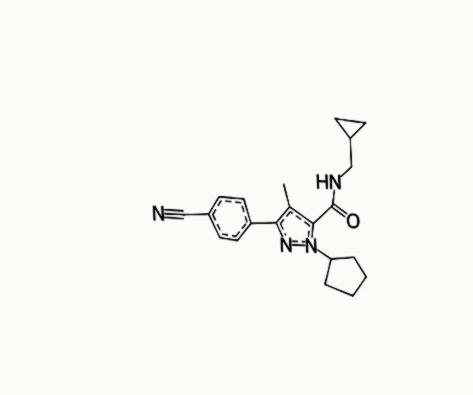 Cc1c(-c2ccc(C#N)cc2)nn(C2CCCC2)c1C(=O)NCC1CC1